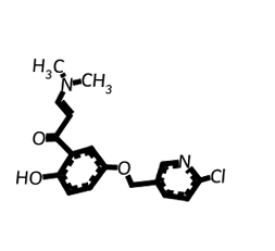 CN(C)C=CC(=O)c1cc(OCc2ccc(Cl)nc2)ccc1O